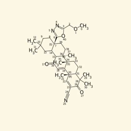 COCc1nnc([C@]23CCC(C)(C)CC2C2C(=O)C=C4[C@@]5(C)C=C(C#N)C(=O)C(C)(C)C5CC[C@@]4(C)[C@]2(C)CC3)o1